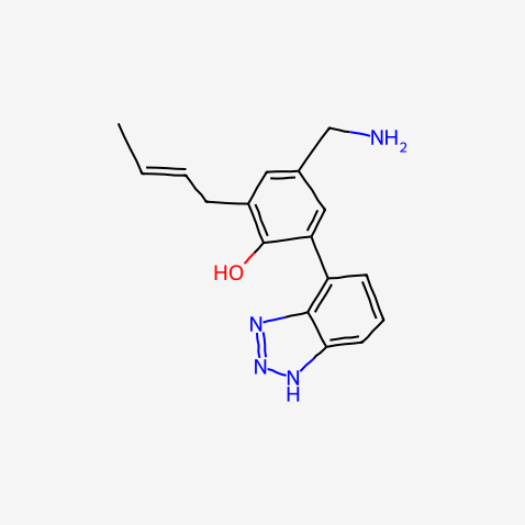 CC=CCc1cc(CN)cc(-c2cccc3[nH]nnc23)c1O